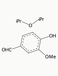 CC(C)OC(C)C.COc1cc(C=O)ccc1O